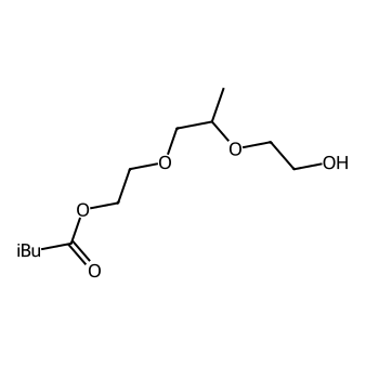 CCC(C)C(=O)OCCOCC(C)OCCO